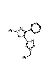 CC(C)Cn1cnc(-c2cn(C(C)C)nc2-c2ccccc2)c1